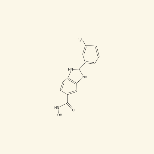 O=C(NO)c1ccc2c(c1)NC(c1cccc(C(F)(F)F)c1)N2